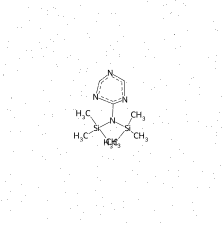 C[Si](C)(C)N(c1ncncn1)[Si](C)(C)C